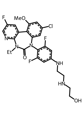 CCN1C(=O)N(c2c(F)cc(NCCNCCO)cc2F)c2cc(Cl)cc(OC)c2-c2cc(F)cnc21